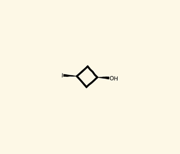 O[C@H]1C[C@@H](I)C1